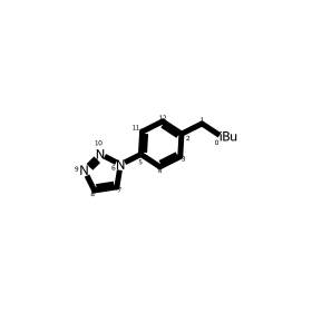 CCC(C)Cc1ccc(-n2ccnn2)cc1